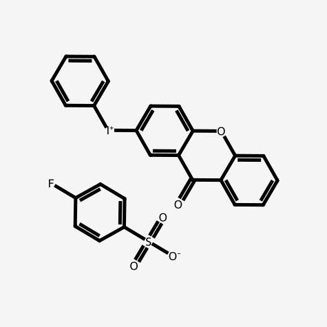 O=S(=O)([O-])c1ccc(F)cc1.O=c1c2ccccc2oc2ccc([I+]c3ccccc3)cc12